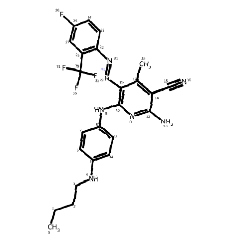 CCCCNc1ccc(Nc2nc(N)c(C#N)c(C)c2/N=N/c2ccc(F)cc2C(F)(F)F)cc1